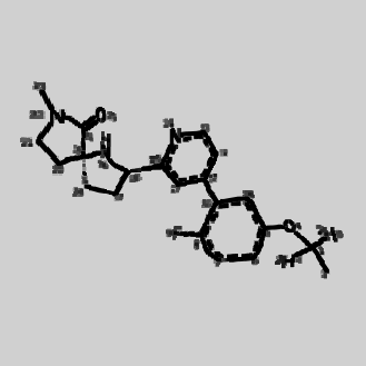 [2H]C([2H])(C)Oc1ccc(F)c(-c2ccnc([C@H]3CC[C@@]4(CCN(C)C4=O)N3)c2)c1